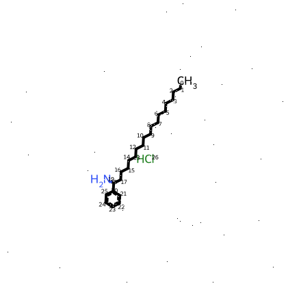 CCCCCCCCCCCCCCCCCCC(N)c1ccccc1.Cl